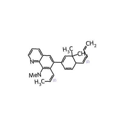 C=C/C=C\C1C=CC(c2cc3cccnc3c(NC)c2/C=C\C)=CC1(C)C